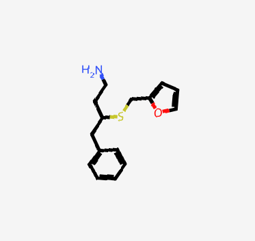 NCCC(Cc1ccccc1)SCc1ccco1